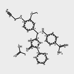 CC(=O)O.COc1cc([C@H](Nc2ccc(C(=N)N)cc2)c2nn(-c3ncccn3)c(=O)[nH]2)ccc1OCC#N